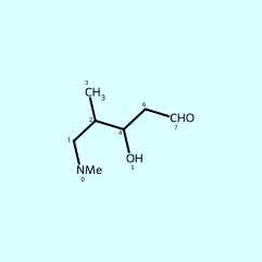 CNCC(C)C(O)CC=O